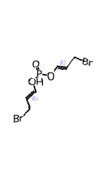 O=[PH](O/C=C/CBr)O/C=C/CBr